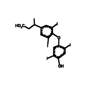 CC(CC(=O)O)c1cc(I)c(Oc2cc(I)c(O)cc2I)c(I)c1